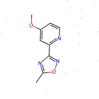 COc1ccnc(-c2noc(C)n2)c1